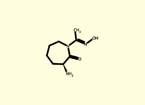 CC(=NO)N1CCCC[C@H](N)C1=O